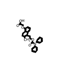 CC1=C(CCOC(=O)N(c2ccccc2)c2ccccc2)c2cccc(OCC(=O)O)c2CC1